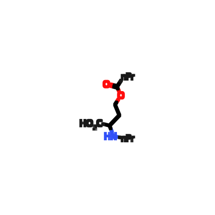 CCCNC(CCOC(=O)CCC)C(=O)O